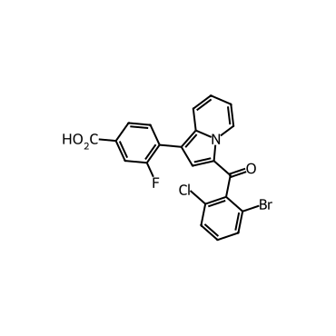 O=C(O)c1ccc(-c2cc(C(=O)c3c(Cl)cccc3Br)n3ccccc23)c(F)c1